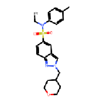 Cc1ccc(N(CC(C)C)S(=O)(=O)c2ccc3nn(CC4CCOCC4)cc3c2)cc1